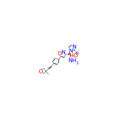 C[C@H](O)c1nccn1[C@H](CN)c1cc(-c2ccc(C#CC3(C)COC3)cc2)on1